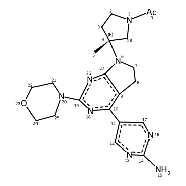 CC(=O)N1CC[C@@](C)(N2CCc3c(-c4cnc(N)nc4)nc(N4CCOCC4)nc32)C1